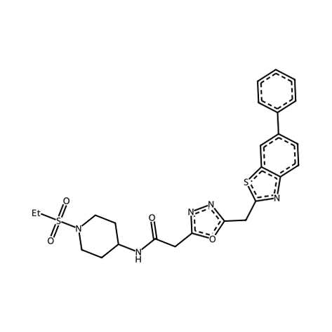 CCS(=O)(=O)N1CCC(NC(=O)Cc2nnc(Cc3nc4ccc(-c5ccccc5)cc4s3)o2)CC1